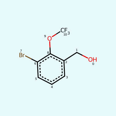 OCc1cccc(Br)c1OC(F)(F)F